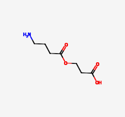 NCCCC(=O)OCCC(=O)O